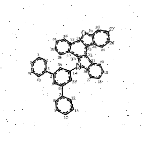 c1ccc(-c2cc(-c3ccccc3)cc(-n3c4ccccc4c4c5c6ccccc6oc5c5ccccc5c43)c2)cc1